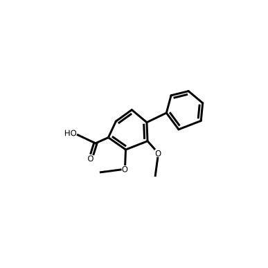 COc1c(C(=O)O)ccc(-c2ccccc2)c1OC